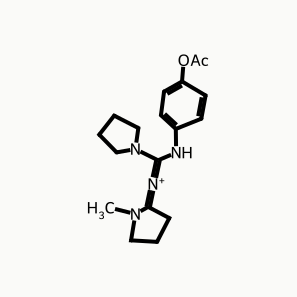 CC(=O)Oc1ccc(NC(=[N+]=C2CCCN2C)N2CCCC2)cc1